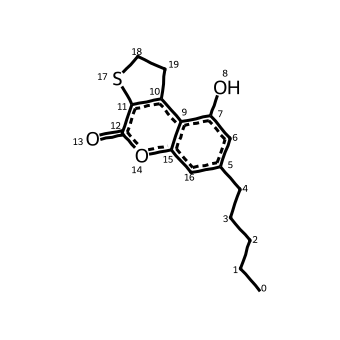 CCCCCc1cc(O)c2c3c(c(=O)oc2c1)SCC3